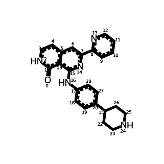 O=c1[nH]ccc2cc(-c3ccccn3)nc(Nc3ccc(C4CCNCC4)cc3)c12